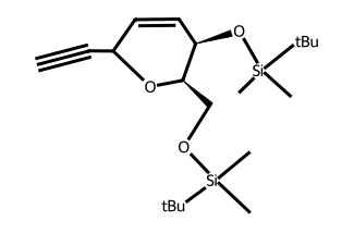 C#CC1C=C[C@@H](O[Si](C)(C)C(C)(C)C)[C@@H](CO[Si](C)(C)C(C)(C)C)O1